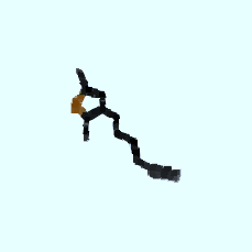 CC(=O)OCCCCc1cc(C)sc1C